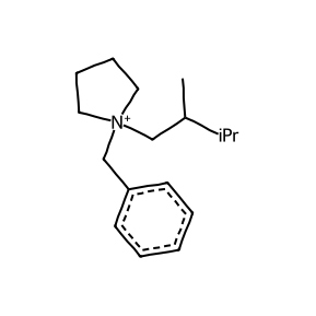 CC(C)C(C)C[N+]1(Cc2ccccc2)CCCC1